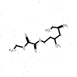 C=C(CC)CC(C)CCOC(=O)C(=O)OCC